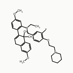 CCN(Cc1ccc(OCCN2CCCCC2)c(F)c1)c1cc(OC)ccc1C1=CCc2cc(OC)ccc2C1(C)C